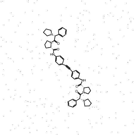 O=C(Nc1ccc(C#Cc2ccc(NC(=O)[C@@H]3CCCN3C(=O)[C@@H](c3ccccc3)N3CCCC3)cc2)cc1)[C@@H]1CCCN1C(=O)[C@@H](c1ccccc1)N1CCCC1